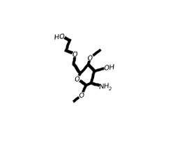 COC1OC(COCCO)C(OC)C(O)C1N